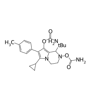 Cc1ccc(-c2c(OC(N)=O)c3n(c2C2CC2)CCN(OC(N)=O)C3C(C)(C)C)cc1